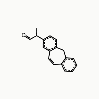 CC(C=O)c1ccc2c(c1)C=Cc1ccccc1C2